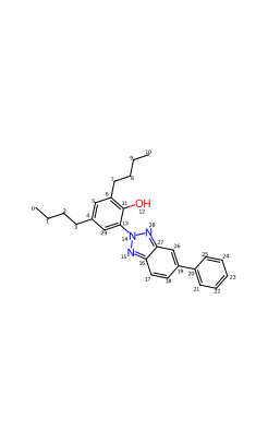 CCCCc1cc(CCCC)c(O)c(-n2nc3ccc(-c4ccccc4)cc3n2)c1